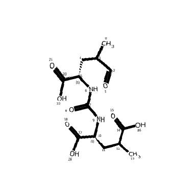 CC(C=O)C[C@H](NC(=O)N[C@@H](CC(C)C(=O)O)C(=O)O)C(=O)O